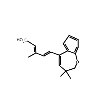 CC(C=CC1=CC(C)(C)COc2ccccc21)=CC(=O)O